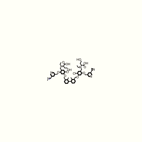 CCN(Cc1cc(Cl)c(OCc2cccc(-c3cccc(COc4cc(OCc5cncc(C6C=N6)c5)c(CN(CC)C(CCO)C(=O)O)cc4Cl)c3C)c2C)cc1OCc1cncc(/C=N/C)c1)C(CCO)C(=O)O